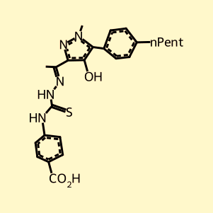 CCCCCc1ccc(-c2c(O)c(C(C)=NNC(=S)Nc3ccc(C(=O)O)cc3)nn2C)cc1